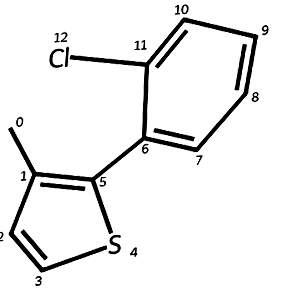 Cc1ccsc1-c1ccccc1Cl